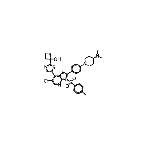 Cc1ccc(S(=O)(=O)n2c(-c3ccc(N4CCC(N(C)C)CC4)cc3)cc3c(-c4cnc(C5(O)CCC5)s4)c(Cl)cnc32)cc1